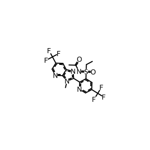 CCS(=O)(=NC(C)=O)c1cc(C(F)(F)F)cnc1-c1nc2cc(C(F)(F)F)cnc2n1C